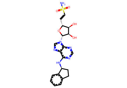 NS(=O)(=O)C=C[C@H]1O[C@@H](n2cnc3c(N[C@H]4CCc5ccccc54)ncnc32)[C@H](O)[C@@H]1O